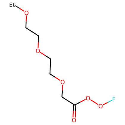 CCOCCOCCOCC(=O)OOF